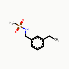 CCc1cccc(CNS(C)(=O)=O)c1